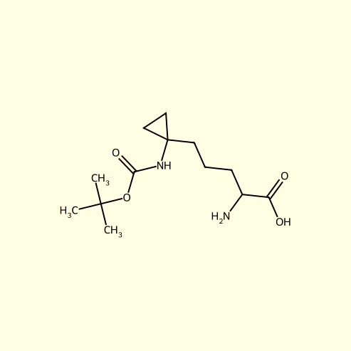 CC(C)(C)OC(=O)NC1(CCCC(N)C(=O)O)CC1